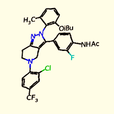 CC(=O)Nc1ccc(-c2c3c(nn2-c2c(C)cccc2OCC(C)C)CCN(c2ccc(C(F)(F)F)cc2Cl)C3)cc1F